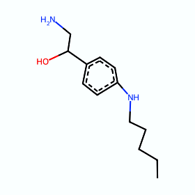 CCCCCNc1ccc(C(O)CN)cc1